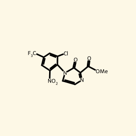 COC(=O)c1nccn(-c2c(Cl)cc(C(F)(F)F)cc2[N+](=O)[O-])c1=O